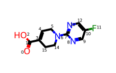 O=C(O)C1=CCN(c2ncc(F)cn2)CC1